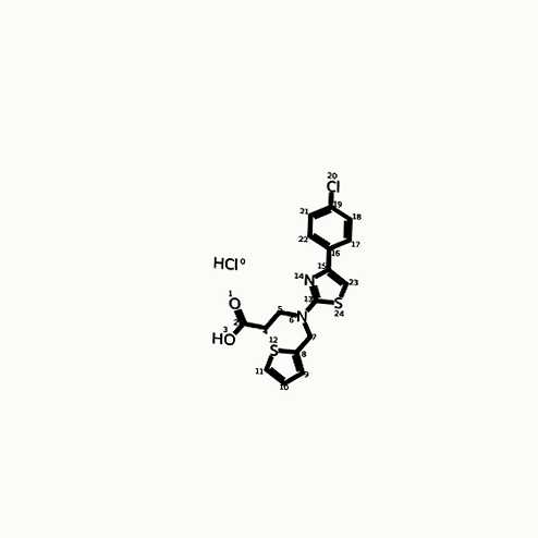 Cl.O=C(O)CCN(Cc1cccs1)c1nc(-c2ccc(Cl)cc2)cs1